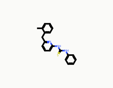 Cc1ccccc1Cc1cccc(NC(=S)Nc2ccccc2)n1